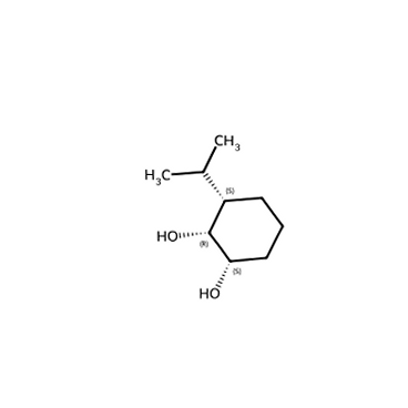 CC(C)[C@@H]1CCC[C@H](O)[C@@H]1O